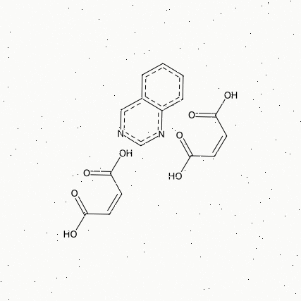 O=C(O)/C=C\C(=O)O.O=C(O)/C=C\C(=O)O.c1ccc2ncncc2c1